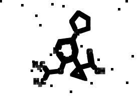 CC(C)Oc1ncc(N2CCCC2)cc1C1(C(=O)O)CC1